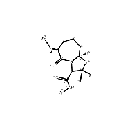 CC(C)NC(=O)[C@H]1N2C(=O)[C@@H](NC(C)C)CCC[C@H]2SC1(C)C